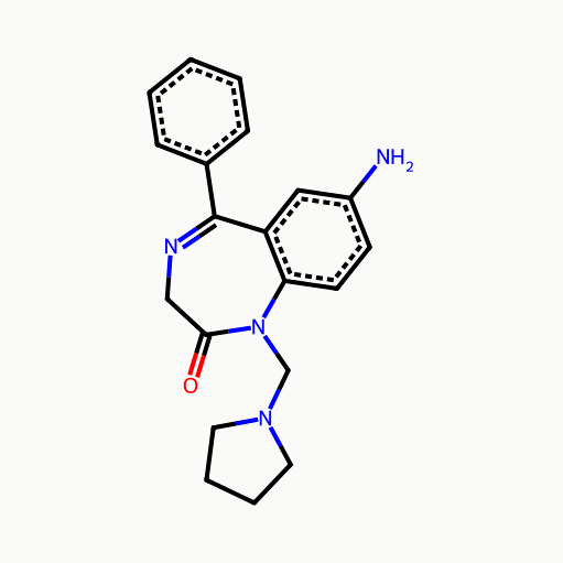 Nc1ccc2c(c1)C(c1ccccc1)=NCC(=O)N2CN1CCCC1